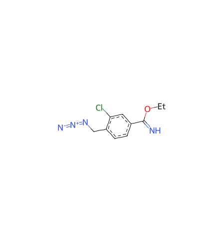 CCOC(=N)c1ccc(CN=[N+]=[N-])c(Cl)c1